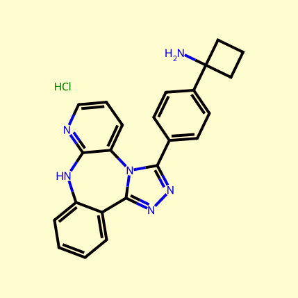 Cl.NC1(c2ccc(-c3nnc4n3-c3cccnc3Nc3ccccc3-4)cc2)CCC1